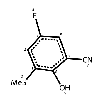 CSc1cc(F)cc(C#N)c1O